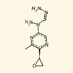 Cc1nc(N(N)/C=N\N)cnc1[C@H]1CO1